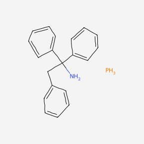 NC(Cc1ccccc1)(c1ccccc1)c1ccccc1.P